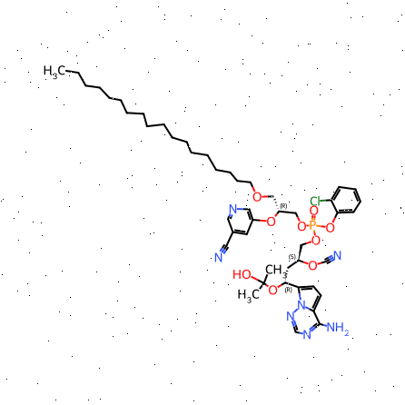 CCCCCCCCCCCCCCCCCCOC[C@H](COP(=O)(OC[C@H](C[C@@H](OC(C)(C)O)c1ccc2c(N)ncnn12)OC#N)Oc1ccccc1Cl)Oc1cncc(C#N)c1